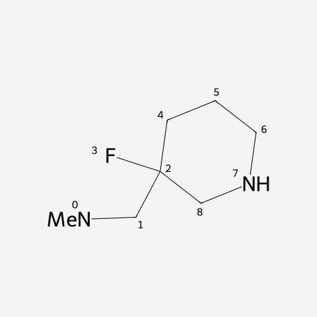 CNCC1(F)CCCNC1